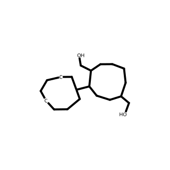 OCC1CCCCC(CO)C(C2CCCCCCCC2)CC1